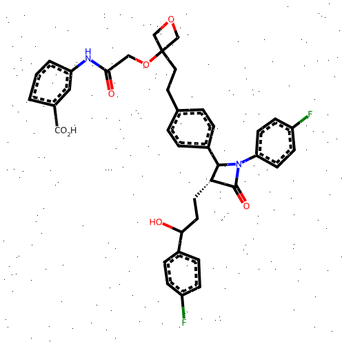 O=C(COC1(CCc2ccc(C3[C@@H](CCC(O)c4ccc(F)cc4)C(=O)N3c3ccc(F)cc3)cc2)COC1)Nc1cccc(C(=O)O)c1